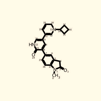 CN1C(=O)Cc2cc(-c3cc(C4=CN(C5CCC5)CC=C4)c[nH]c3=O)ccc21